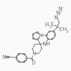 CC(C)(CN=[N+]=[N-])c1ccc2c(c1)-n1cccc1C1(CCN(C(=O)c3ccc(C#N)cc3)CC1)N2